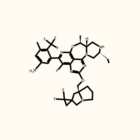 CC[C@@H]1CN2c3nc(OC[C@@]45CCCN4CC4(CC4(F)F)C5)nc4c(F)c(-c5cc(N)cc(C)c5C(F)(F)F)nc(c34)O[C@@H](C)[C@@H]2CN1